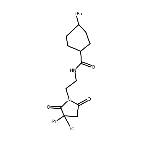 CCC1(C(C)C)CC(=O)N(CCNC(=O)C2CCC(C(C)(C)C)CC2)C1=O